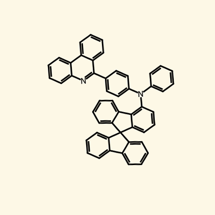 c1ccc(N(c2ccc(-c3nc4ccccc4c4ccccc34)cc2)c2cccc3c2-c2ccccc2C32c3ccccc3-c3ccccc32)cc1